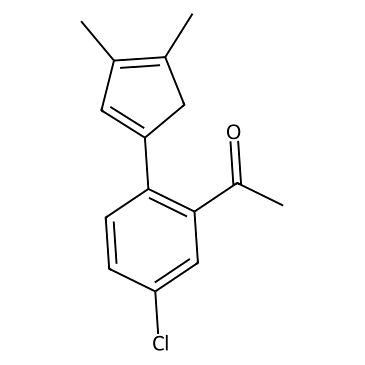 CC(=O)c1cc(Cl)ccc1C1=CC(C)=C(C)C1